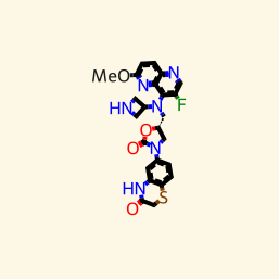 COc1ccc2ncc(F)c(N(C[C@@H]3CN(c4ccc5c(c4)NC(=O)CS5)C(=O)O3)C3CNC3)c2n1